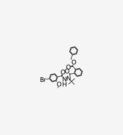 COc1cc(Br)ccc1C(=O)NN(C(=O)c1ccccc1C(=O)OCc1ccccc1)C(C)(C)C